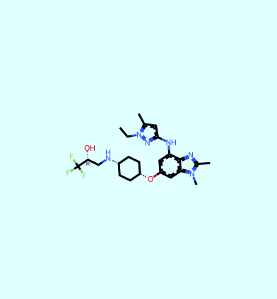 CCn1nc(Nc2cc(O[C@H]3CC[C@@H](NC[C@@H](O)C(F)(F)F)CC3)cc3c2nc(C)n3C)cc1C